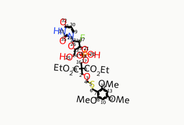 CCOC(=O)C(COCSCc1c(OC)cc(OC)cc1OC)(COP(=O)(O)OC1C(CO)OC(n2ccc(=O)[nH]c2=O)C1F)C(=O)OCC